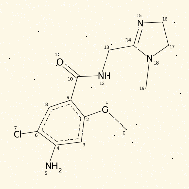 COc1cc(N)c(Cl)cc1C(=O)NCC1=NCCN1C